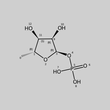 C[C@H]1O[C@H](OP(=O)(O)O)[C@H](O)[C@@H]1O